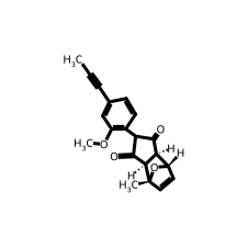 CC#Cc1ccc(C2C(=O)[C@H]3[C@@H]4C=C[C@@](C)(O4)[C@H]3C2=O)c(OC)c1